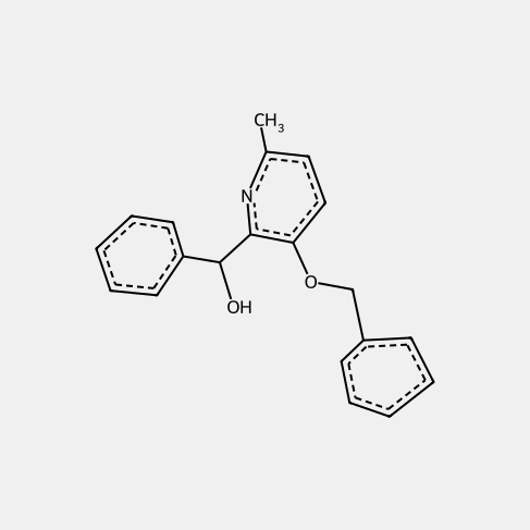 Cc1ccc(OCc2ccccc2)c(C(O)c2ccccc2)n1